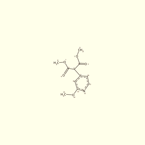 COC(=O)C(C(=O)OC)c1ccnc(OC)c1